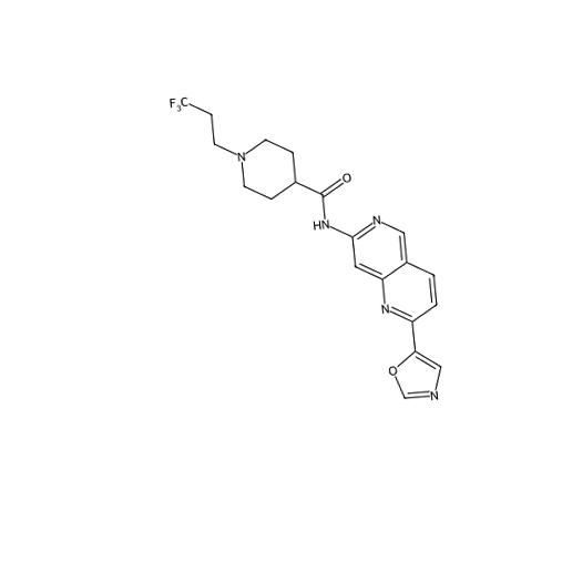 O=C(Nc1cc2nc(-c3cnco3)ccc2cn1)C1CCN(CCC(F)(F)F)CC1